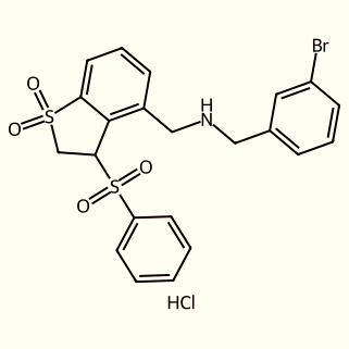 Cl.O=S1(=O)CC(S(=O)(=O)c2ccccc2)c2c(CNCc3cccc(Br)c3)cccc21